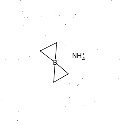 C1C[B-]12CC2.[NH4+]